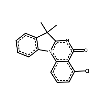 CC1(C)c2ccccc2-n2c1nc(=O)c1c(Cl)cccc12